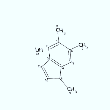 Cc1cc2c(cc1C)C(C)C=C2.[LiH]